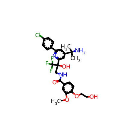 COc1cc(C(=O)NCC(O)(c2cc(C(C)(C)N)cc(-c3ccc(Cl)cc3)n2)C(F)(F)F)ccc1OCCO